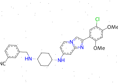 COc1cc(OC)c(-c2cn3ccc(N[C@H]4CC[C@@H](NCc5cccc(C#N)c5)CC4)cc3n2)cc1Cl